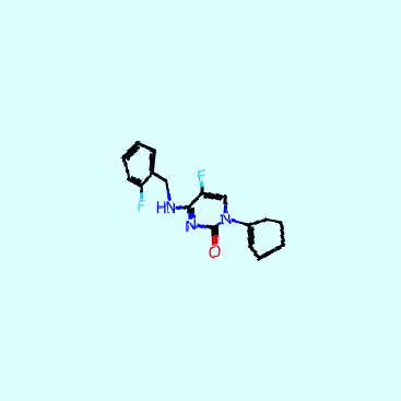 O=c1nc(NCc2ccccc2F)c(F)cn1C1=CCCCC1